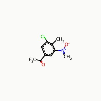 C=[N+]([O-])c1cc(C(=O)C(F)(F)F)cc(Cl)c1C